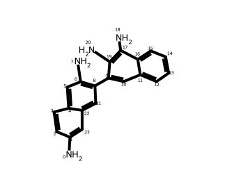 Nc1ccc2cc(N)c(-c3cc4ccccc4c(N)c3N)cc2c1